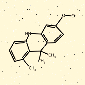 CCOc1ccc2c(c1)Nc1cccc(C)c1C2(C)C